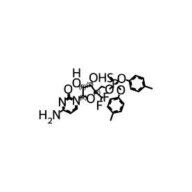 Cc1ccc(OP(=S)(OC[C@@]2(C(F)F)O[C@@H](n3ccc(N)nc3=O)[C@H](O)[C@@H]2O)Oc2ccc(C)cc2)cc1